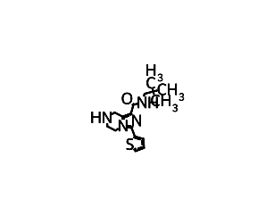 CC(C)(C)CNC(=O)c1nc(-c2cccs2)n2c1CNCC2